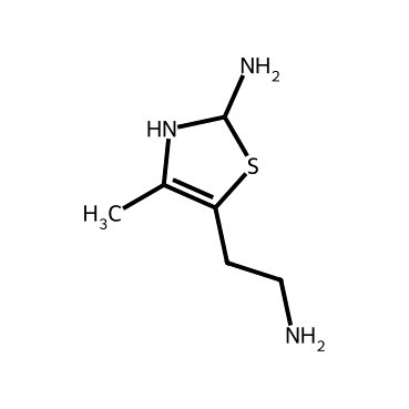 CC1=C(CCN)SC(N)N1